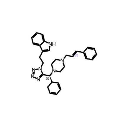 C1=CCC([C@@H](c2nnnn2CCc2c[nH]c3ccccc23)N2CCN(C/C=C/c3ccccc3)CC2)C=C1